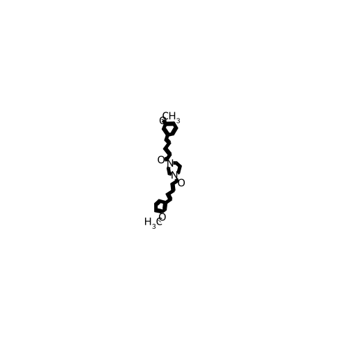 COc1cccc(/C=C/C=C/C(=O)N2CCCN(C(=O)/C=C/C=C/c3cccc(OC)c3)CC2)c1